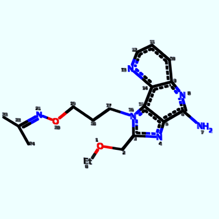 CCOCc1nc2c(N)nc3cccnc3c2n1CCCON=C(C)C